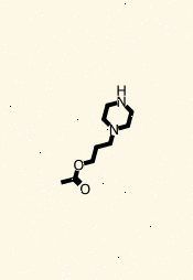 CC(=O)OCCCN1CCNCC1